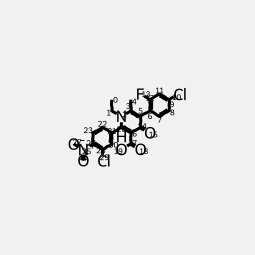 CCn1c(C)c(-c2ccc(Cl)cc2F)c(=O)c(C(=O)O)c1-c1ccc([N+](=O)[O-])c(Cl)c1